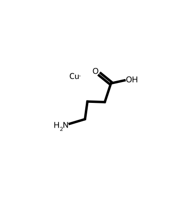 NCCCC(=O)O.[Cu]